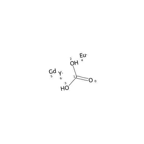 O=C(O)O.[Eu].[Gd].[Y]